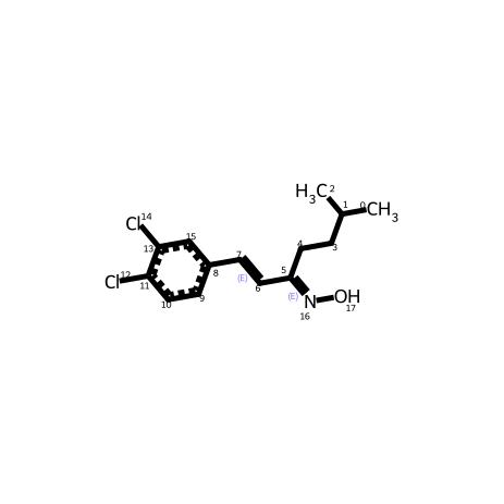 CC(C)CCC(/C=C/c1ccc(Cl)c(Cl)c1)=N\O